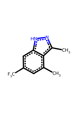 Cc1cc(C(F)(F)F)cc2[nH]nc(C)c12